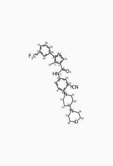 Cc1c(C(=O)Nc2ccc(N3CCC(N4CCOCC4)CC3)c(C#N)c2)cnn1-c1cccc(C(F)(F)F)c1